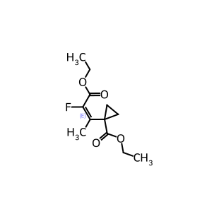 CCOC(=O)/C(F)=C(/C)C1(C(=O)OCC)CC1